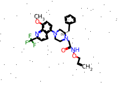 C=CCONC(=O)CN1CCN(c2ccc(OC)c3nc(C(F)(F)F)ccc23)C[C@@H]1Cc1ccccc1